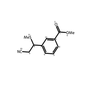 COC(=O)c1cccc(C(CC#N)SC)c1